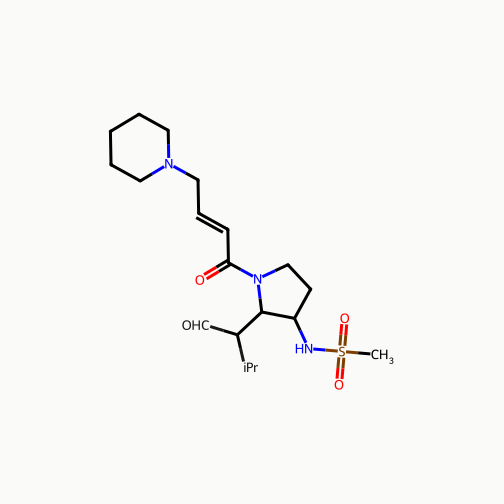 CC(C)C(C=O)C1C(NS(C)(=O)=O)CCN1C(=O)C=CCN1CCCCC1